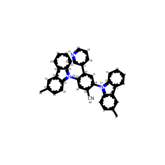 Cc1ccc2c(c1)c1ccccc1n2-c1cc(-c2cccnc2)c(-n2c3ccccc3c3cc(C)ccc32)cc1C#N